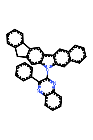 c1ccc(-c2nc3ccccc3nc2-n2c3cc4c(cc3c3cc5ccccc5cc32)-c2ccccc2C4)cc1